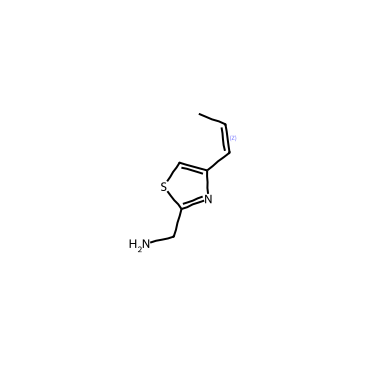 C/C=C\c1csc(CN)n1